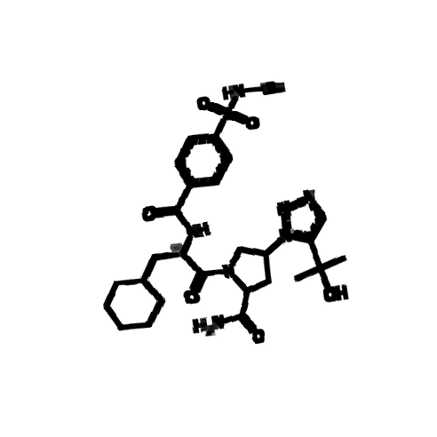 CC(C)(C)NS(=O)(=O)c1ccc(C(=O)N[C@H](CC2CCCCC2)C(=O)N2CC(n3nncc3C(C)(C)O)CC2C(N)=O)cc1